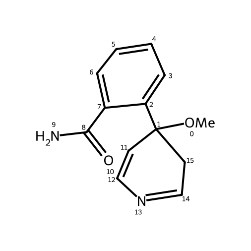 COC1(c2ccccc2C(N)=O)C=CN=CC1